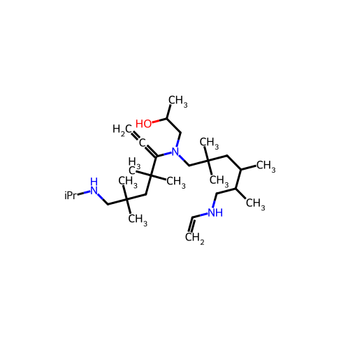 C=C=C(N(CC(C)O)CC(C)(C)CC(C)C(C)CNC=C)C(C)(C)CC(C)(C)CNC(C)C